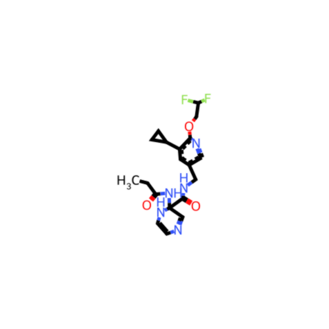 CCC(=O)NC1(C(=O)NCc2cnc(OCC(F)F)c(C3CC3)c2)C=NC=CN1